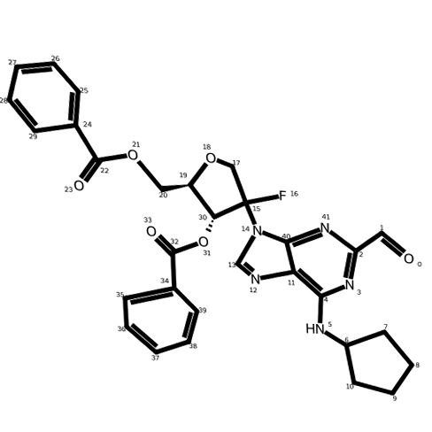 O=Cc1nc(NC2CCCC2)c2ncn(C3(F)CO[C@H](COC(=O)c4ccccc4)[C@H]3OC(=O)c3ccccc3)c2n1